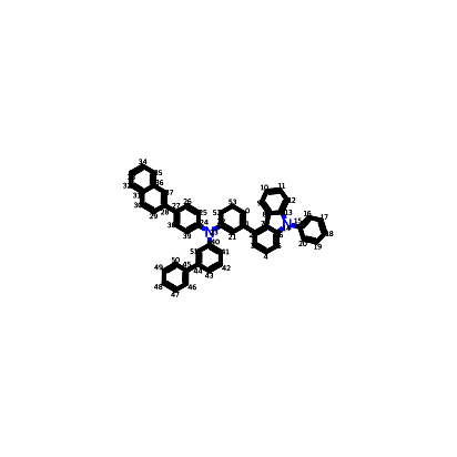 C1=C(c2cccc3c2c2ccccc2n3-c2ccccc2)C=C(N(c2ccc(-c3ccc4ccccc4c3)cc2)c2cccc(-c3ccccc3)c2)CC1